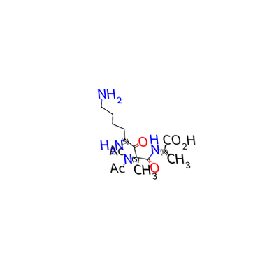 CC(=O)N(C(C)=O)[C@](C)(C(=O)N[C@H](C)C(=O)O)C(=O)[C@@H](N)CCCCN